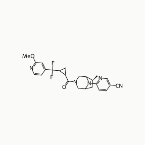 COc1cc(C(F)(F)C2CC2C(=O)N2CC3C[C@H](C)C(C2)N3c2ccc(C#N)cn2)ccn1